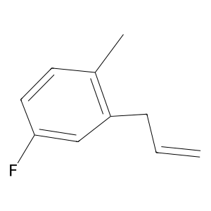 C=CCc1cc(F)ccc1C